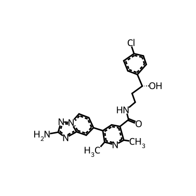 Cc1nc(C)c(-c2ccn3nc(N)nc3c2)cc1C(=O)NCC[C@@H](O)c1ccc(Cl)cc1